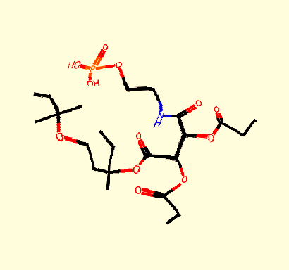 CCC(=O)OC(C(=O)NCCOP(=O)(O)O)C(OC(=O)CC)C(=O)OC(C)(CC)CCOC(C)(C)CC